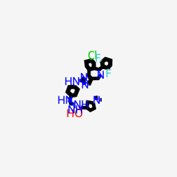 CN(C)C1CCC(C(O)NC(=N)Nc2ccc(Nc3ncc4c(n3)-c3ccc(Cl)cc3C(c3c(F)cccc3F)=NC4)cc2)C1